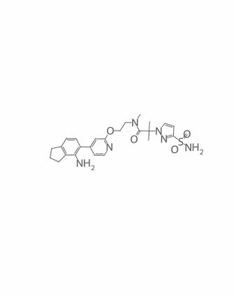 CN(CCOc1cc(-c2ccc3c(c2N)CCC3)ccn1)C(=O)C(C)(C)n1ccc(S(N)(=O)=O)n1